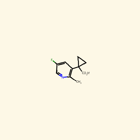 Cc1ncc(F)cc1C1(C(=O)O)CC1